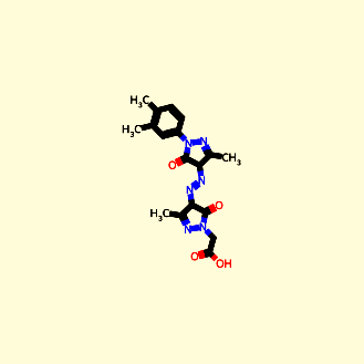 CC1=NN(CC(=O)O)C(=O)C1N=NC1C(=O)N(c2ccc(C)c(C)c2)N=C1C